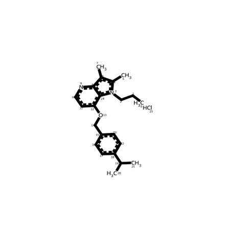 CCCn1c(C)c(C)c2nccc(OCc3ccc(C(C)C)cc3)c21.Cl